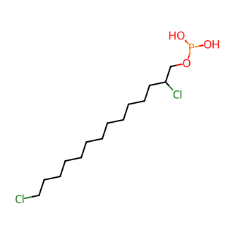 OP(O)OCC(Cl)CCCCCCCCCCCCCl